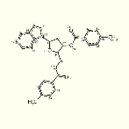 Cc1ccc(C(=O)OCC2OC(n3ccc4cncnc43)CC2OC(=O)c2ccc(C)cc2)cc1